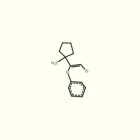 CC1(C(=CCl)Oc2ccccc2)CCCC1